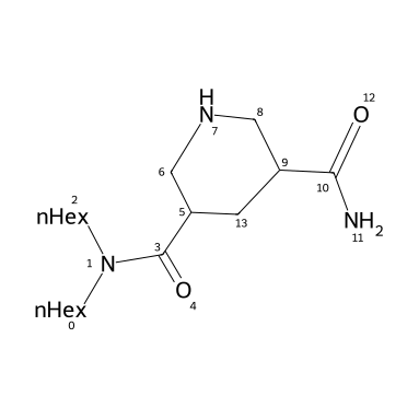 CCCCCCN(CCCCCC)C(=O)C1CNCC(C(N)=O)C1